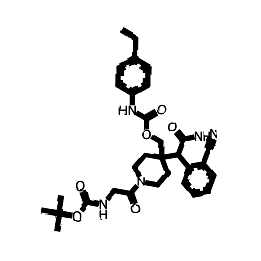 CCc1ccc(NC(=O)OCC2(C(C(N)=O)c3ccccc3C#N)CCN(C(=O)CNC(=O)OC(C)(C)C)CC2)cc1